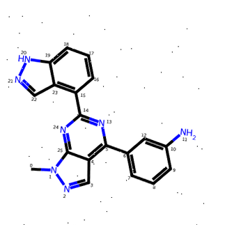 Cn1ncc2c(-c3cccc(N)c3)nc(-c3cccc4[nH]ncc34)nc21